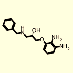 Nc1cccc(OC[C@@H](O)CNCc2ccccc2)c1N